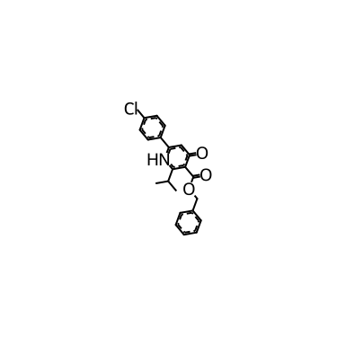 CC(C)c1[nH]c(-c2ccc(Cl)cc2)cc(=O)c1C(=O)OCc1ccccc1